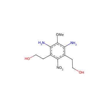 COc1c(N)c(CCO)c([N+](=O)[O-])c(CCO)c1N